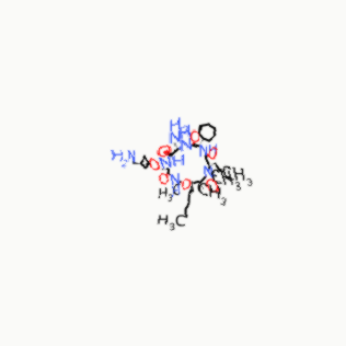 CCCCCC[C@H]1O[C@@H](C)NC(=O)[C@H](CO[C@H]2C[C@H](CN)C2)NC(=O)[C@H](CN)NC(=O)[C@H](C2CCCCCC2)NC(=O)[C@H](CCC)N(C)C(=O)[C@@H]1C